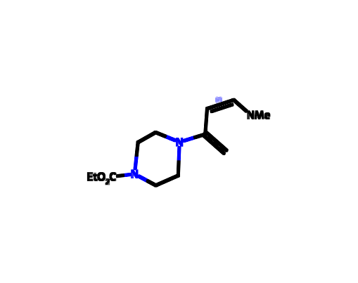 C=C(/C=C\NC)N1CCN(C(=O)OCC)CC1